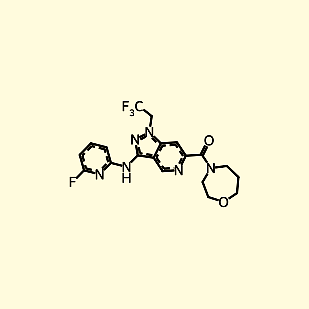 O=C(c1cc2c(cn1)c(Nc1cccc(F)n1)nn2CC(F)(F)F)N1CCCOCC1